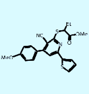 CCC(Sc1nc(-c2cccs2)cc(-c2ccc(OC)cc2)c1C#N)C(=O)OC